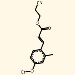 CCOc1ccc(/C=C/C(=O)OCCC#N)c(C)c1